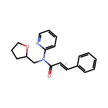 O=C(/C=C/c1ccccc1)N(CC1CCCO1)c1ccccn1